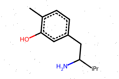 Cc1ccc(CC(N)C(C)C)cc1O